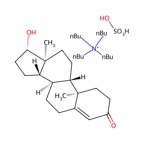 CCCC[N+](CCCC)(CCCC)CCCC.C[C@]12CC[C@H]3[C@@H](CCC4=CC(=O)CC[C@@]43C)[C@@H]1CC[C@@H]2O.O=S(=O)(O)O